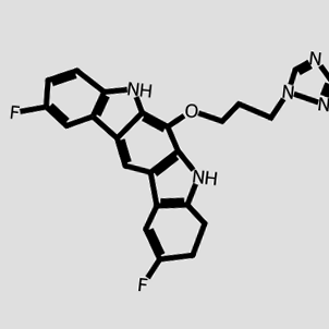 FC1=Cc2c([nH]c3c(OCCCn4cncn4)c4[nH]c5ccc(F)cc5c4cc23)CC1